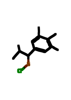 Cc1cc(C(SCl)C(C)C)cc(C)c1C